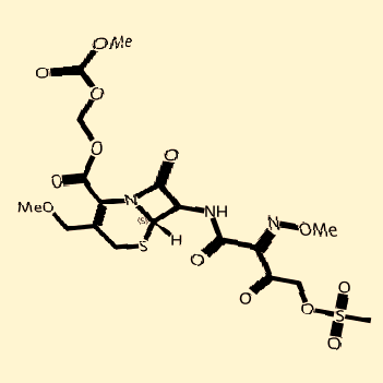 COCC1=C(C(=O)OCOC(=O)OC)N2C(=O)C(NC(=O)C(=NOC)C(=O)COS(C)(=O)=O)[C@@H]2SC1